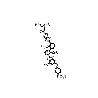 Cc1c(-c2nc3cc(CN4CCC(C(=O)O)CC4)cc(C#N)c3o2)cccc1-c1cccc(-c2nc3c(s2)CN(C(=O)CN(C)CCO)C3)c1C